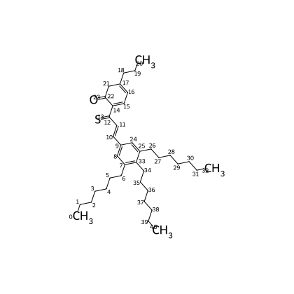 CCCCCCCc1cc(C=CC(=S)C2=CC=C(CCC)CC2=O)cc(CCCCCCC)c1CCCCCCC